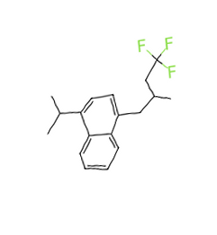 CC(Cc1ccc(C(C)C)c2ccccc12)CC(F)(F)F